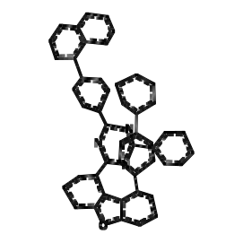 c1ccc(-c2ccc(-c3cccc4oc5cccc(-c6nc(-c7ccccc7)nc(-c7ccc(-c8cccc9ccccc89)cc7)n6)c5c34)cc2)cc1